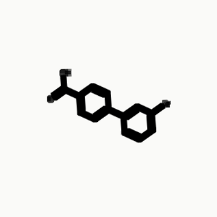 O=C(O)c1ccc(-c2[c]ccc(Br)c2)cc1